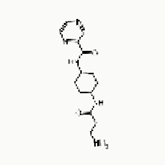 NCCC(=O)NC1CCC(NC(=O)c2cnccn2)CC1